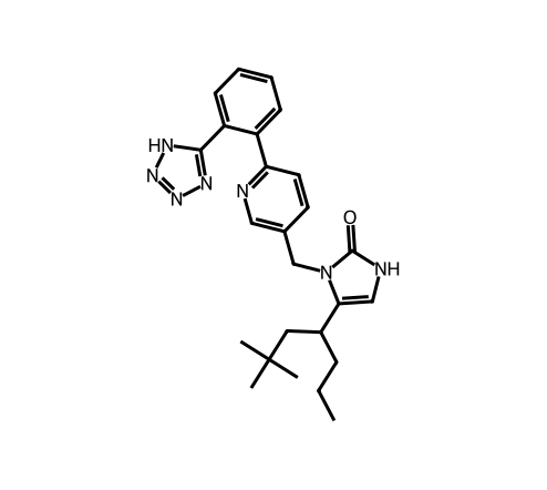 CCCC(CC(C)(C)C)c1c[nH]c(=O)n1Cc1ccc(-c2ccccc2-c2nnn[nH]2)nc1